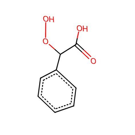 O=C(O)C(OO)c1ccccc1